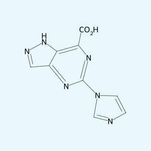 O=C(O)c1nc(-n2ccnc2)nc2cn[nH]c12